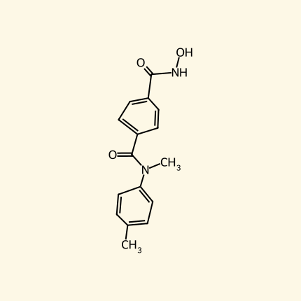 Cc1ccc(N(C)C(=O)c2ccc(C(=O)NO)cc2)cc1